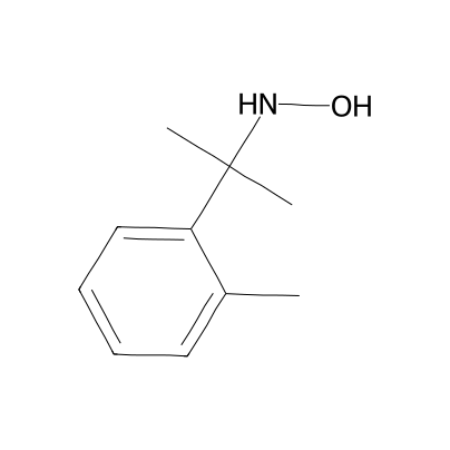 Cc1ccccc1C(C)(C)NO